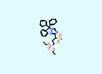 CCOP(=O)(CCC(c1ncn(C(c2ccccc2)(c2ccccc2)c2ccccc2)n1)S(C)(=O)=O)OCC